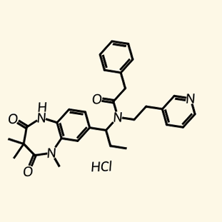 CCC(c1ccc2c(c1)N(C)C(=O)C(C)(C)C(=O)N2)N(CCc1cccnc1)C(=O)Cc1ccccc1.Cl